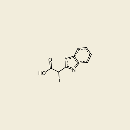 O=C(O)C(I)c1nc2ccccc2s1